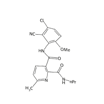 CCCNC(=O)c1nc(C)ccc1C(=O)Nc1c(OC)ccc(Cl)c1C#N